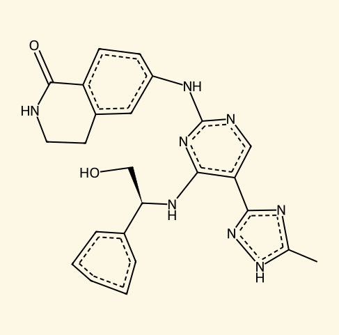 Cc1nc(-c2cnc(Nc3ccc4c(c3)CCNC4=O)nc2N[C@H](CO)c2ccccc2)n[nH]1